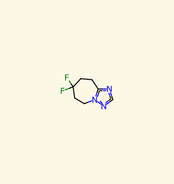 FC1(F)CCc2ncnn2CC1